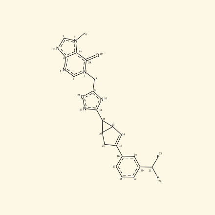 Cn1cnc2ncn(Cc3nc(C4C5C=C(c6cccc(C(F)F)c6)CC54)no3)c(=O)c21